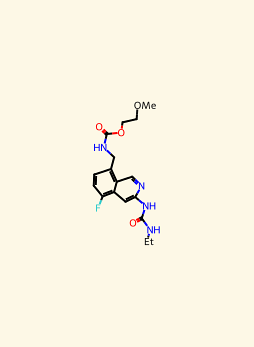 CCNC(=O)Nc1cc2c(F)ccc(CNC(=O)OCCOC)c2cn1